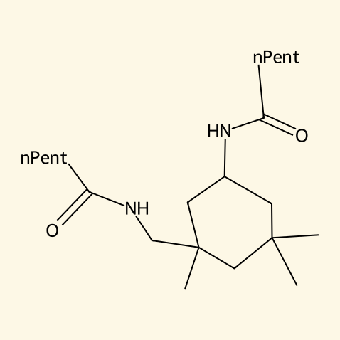 CCCCCC(=O)NCC1(C)CC(NC(=O)CCCCC)CC(C)(C)C1